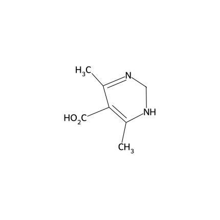 CC1=NCNC(C)=C1C(=O)O